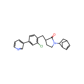 O=C1C(Cc2ccc(-c3cccnc3)cc2Cl)CCN1C1CC2C=CC1C2